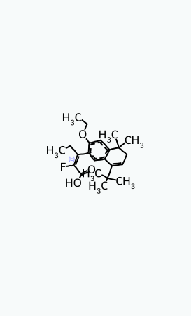 CCOc1cc2c(cc1/C(CC)=C(/F)C(=O)O)C(C(C)(C)C)=CCC2(C)C